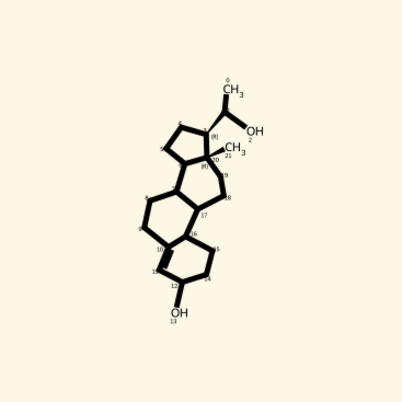 CC(O)[C@@H]1CCC2C3CCC4=CC(O)CCC4C3CC[C@]21C